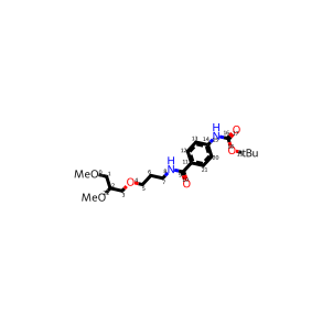 COCC(COCCCNC(=O)c1ccc(NC(=O)OC(C)(C)C)cc1)OC